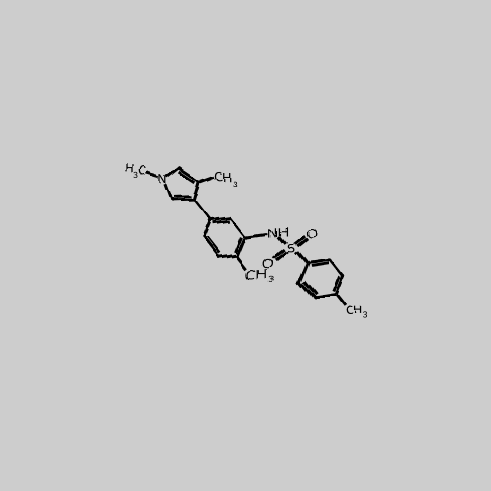 Cc1ccc(S(=O)(=O)Nc2cc(-c3cn(C)cc3C)ccc2C)cc1